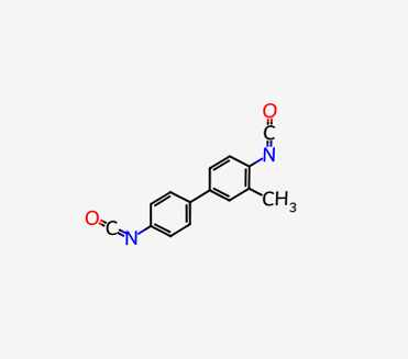 Cc1cc(-c2ccc(N=C=O)cc2)ccc1N=C=O